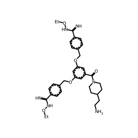 CCONC(=N)c1ccc(COc2cc(OCc3ccc(C(=N)NOCC)cc3)cc(C(=O)N3CCC(CCN)CC3)c2)cc1